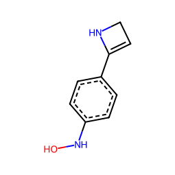 ONc1ccc(C2=CCN2)cc1